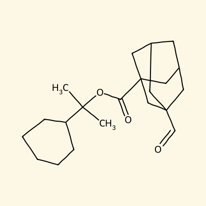 CC(C)(OC(=O)C12CC3CC(CC(C=O)(C3)C1)C2)C1CCCCC1